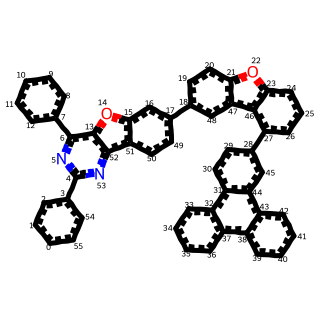 c1ccc(-c2nc(-c3ccccc3)c3oc4cc(-c5ccc6oc7cccc(-c8ccc9c%10ccccc%10c%10ccccc%10c9c8)c7c6c5)ccc4c3n2)cc1